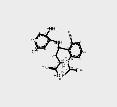 Nc1cnc(Cl)cc1NC(CC(N)C(=O)O)c1c(Br)cccc1OC(F)F